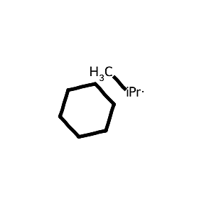 C1CCCCC1.C[C](C)C